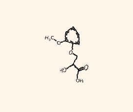 COc1ccccc1OCC(O)C(=O)O